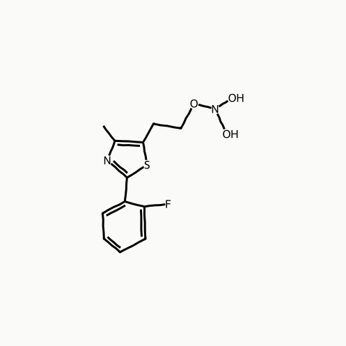 Cc1nc(-c2ccccc2F)sc1CCON(O)O